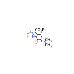 CCOC(=O)c1c2c(nn1C(F)C(F)F)C(=O)C(=CN(C)C)CC2